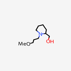 COCCCN1CCCCC1CO